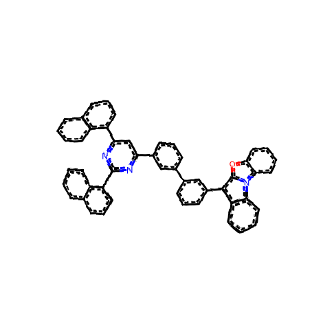 c1cc(-c2cccc(-c3c4ccccc4n4c3oc3ccccc34)c2)cc(-c2cc(-c3cccc4ccccc34)nc(-c3cccc4ccccc34)n2)c1